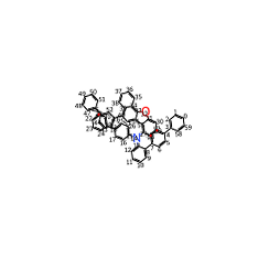 c1ccc(-c2ccc(-c3ccccc3N(c3ccc(-c4ccccc4)cc3)c3cccc4oc5c6ccccc6c(-c6cccc(-c7ccccc7)c6)cc5c34)cc2)cc1